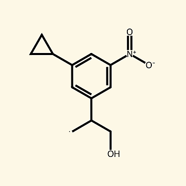 [CH2]C(CO)c1cc(C2CC2)cc([N+](=O)[O-])c1